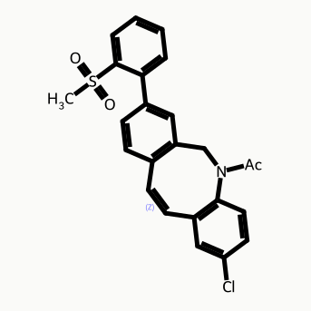 CC(=O)N1Cc2cc(-c3ccccc3S(C)(=O)=O)ccc2/C=C\c2cc(Cl)ccc21